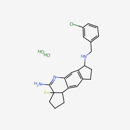 Cl.Cl.NC1=Nc2cc3c(cc2C2CCCC12F)CCC3NCc1cccc(Cl)c1